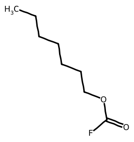 CCCCCCCOC(=O)F